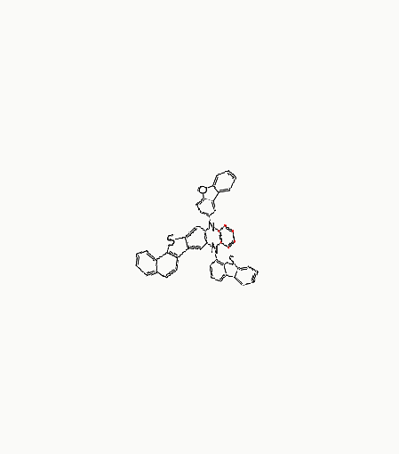 c1ccc(N(c2ccc3oc4ccccc4c3c2)c2cc3sc4c5ccccc5ccc4c3cc2N(c2ccccc2)c2cccc3c2sc2ccccc23)cc1